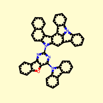 c1ccc2c(c1)ccc1c2c2c3c4ccccc4n4c5ccccc5c(cc2n1-c1nc(-n2c5ccccc5c5ccccc52)c2oc5ccccc5c2n1)c34